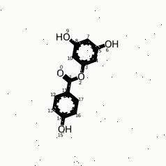 O=C(Oc1cc(O)cc(O)c1)c1ccc(O)cc1